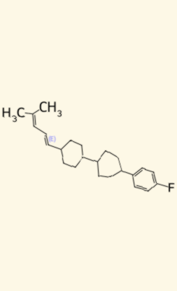 CC(C)=C/C=C/C1CCC(C2CCC(c3ccc(F)cc3)CC2)CC1